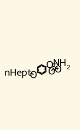 CCCCCCCOc1ccc(OS(N)(=O)=O)cc1